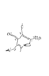 CCOC(=O)c1occ(C(C)=O)c(=O)c1Cl